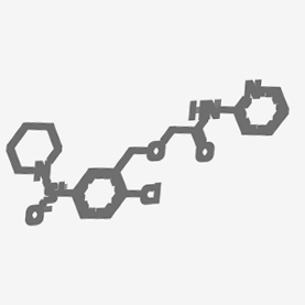 O=C(COCc1cc([S+]([O-])N2CCCCC2)ccc1Cl)Nc1ccccn1